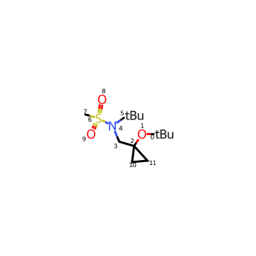 CC(C)(C)OC1(CN(C(C)(C)C)S(C)(=O)=O)CC1